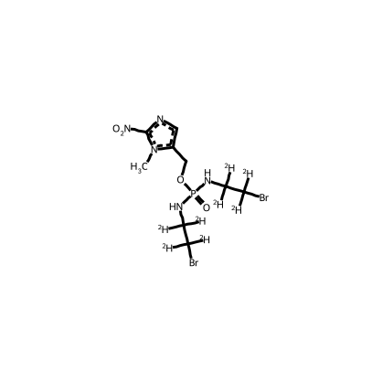 [2H]C([2H])(Br)C([2H])([2H])NP(=O)(NC([2H])([2H])C([2H])([2H])Br)OCc1cnc([N+](=O)[O-])n1C